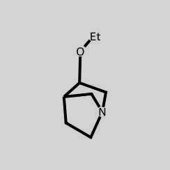 CCOC1CN2CCC1C2